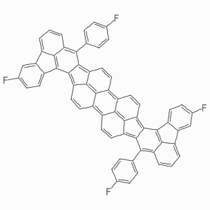 Fc1ccc(-c2c3cccc4c5cc(F)ccc5c(c34)c3c4ccc5c6ccc7c8c(-c9ccc(F)cc9)c9cccc%10c%11cc(F)ccc%11c(c9%10)c8c8ccc(c9ccc(c23)c4c95)c6c78)cc1